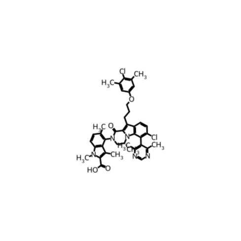 Cc1cc(OCCCc2c3n(c4c(-c5c(C)ncnc5C)c(Cl)ccc24)[C@H](C)CN(c2c(C)ccc4c2c(C)c(C(=O)O)n4C)C3=O)cc(C)c1Cl